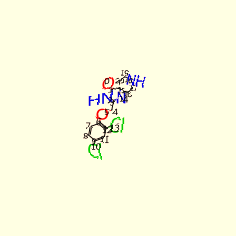 O=C1NC(COc2ccc(Cl)cc2Cl)=NC12CCNCC2